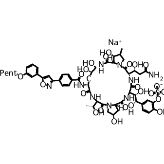 CCCCCOc1cccc(-c2cc(-c3ccc(C(=O)N[C@H]4C[C@@H](O)C(O)NC(=O)[C@@H]5[C@@H](O)C(C)CN5C(=O)[C@H]([C@H](O)CC(N)=O)NC(=O)C([C@H](O)[C@@H](O)c5ccc(O)c(OS(=O)(=O)[O-])c5)NC(=O)[C@@H]5C[C@@H](O)CN5C(=O)C([C@@H](C)O)NC4=O)cc3)no2)c1.[Na+]